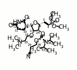 COP(=O)(/C=C/[C@H]1O[C@@H](n2ccc(=O)[nH]c2=O)[C@H](OCCN(C)C)[C@@H]1OP(OCCC#N)N(C(C)C)C(C)C)OC